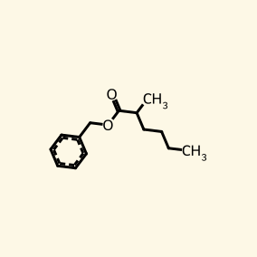 CCCCC(C)C(=O)OCc1ccccc1